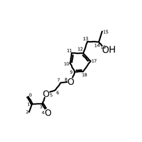 C=C(C)C(=O)OCCOc1ccc(CC(C)O)cc1